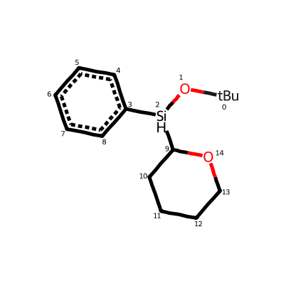 CC(C)(C)O[SiH](c1ccccc1)C1CCCCO1